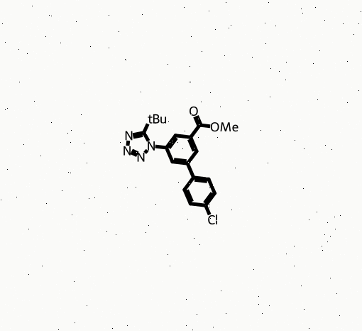 COC(=O)c1cc(-c2ccc(Cl)cc2)cc(-n2nnnc2C(C)(C)C)c1